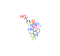 CCc1c(C(F)(F)F)nc2c(c1NC(=O)N=S(N)(=O)c1cc(C(C)(C)O)cs1)CCC2